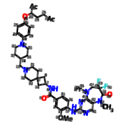 COc1cc(C(=O)NC2CC3(CCN(CC4CCN(c5ccc(OC(CCC(C)=O)C(C)=O)cc5)CC4)CC3)C2)ccc1Nc1ncc2c(n1)N(C(C)C)CC(F)(F)C(=O)N2C